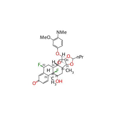 CCCC1O[C@@H]2C[C@H]3[C@@H]4C[C@H](F)C5=CC(=O)C=C[C@]5(C)[C@@]4(F)[C@@H](O)C[C@]3(C)[C@]2(C(=O)COc2ccc(NC)c(OC)c2)O1